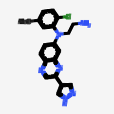 COc1ccc(Cl)c(N(CCN)c2ccc3ncc(-c4cn[nH]c4)nc3c2)c1